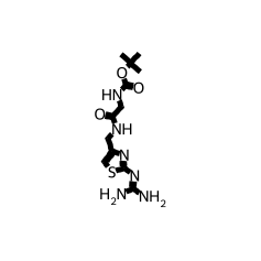 CC(C)(C)OC(=O)NCC(=O)NCc1csc(N=C(N)N)n1